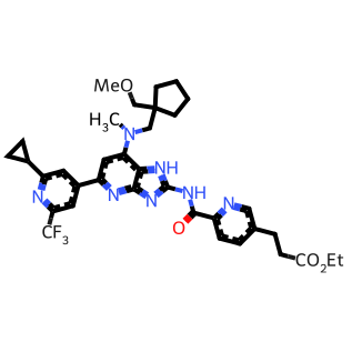 CCOC(=O)CCc1ccc(C(=O)Nc2nc3nc(-c4cc(C5CC5)nc(C(F)(F)F)c4)cc(N(C)CC4(COC)CCCC4)c3[nH]2)nc1